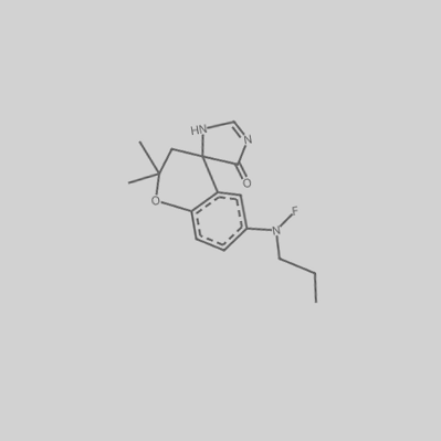 CCCN(F)c1ccc2c(c1)C1(CC(C)(C)O2)NC=NC1=O